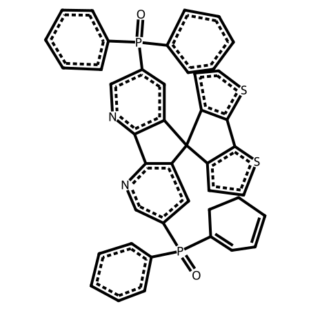 O=P(C1=CC=CCC1)(c1ccccc1)c1cnc2c(c1)C1(c3cc(P(=O)(c4ccccc4)c4ccccc4)cnc3-2)c2ccsc2-c2sccc21